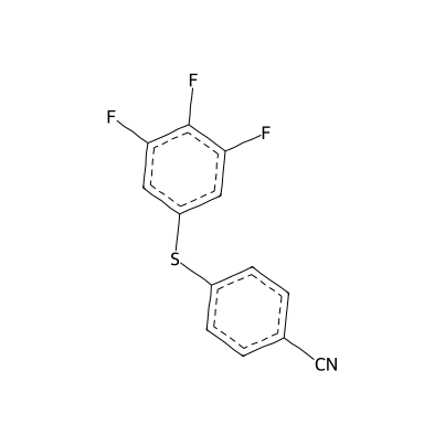 N#Cc1ccc(Sc2cc(F)c(F)c(F)c2)cc1